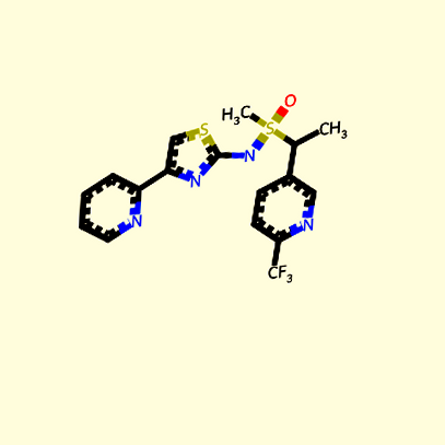 CC(c1ccc(C(F)(F)F)nc1)S(C)(=O)=Nc1nc(-c2ccccn2)cs1